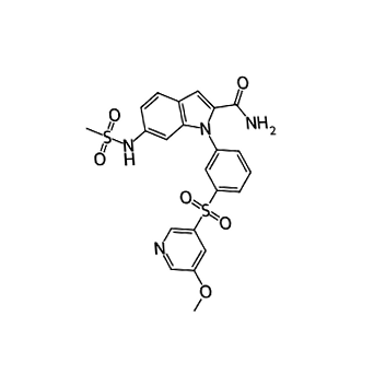 COc1cncc(S(=O)(=O)c2cccc(-n3c(C(N)=O)cc4ccc(NS(C)(=O)=O)cc43)c2)c1